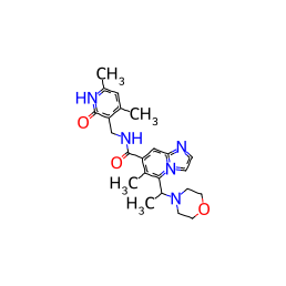 Cc1cc(C)c(CNC(=O)c2cc3nccn3c(C(C)N3CCOCC3)c2C)c(=O)[nH]1